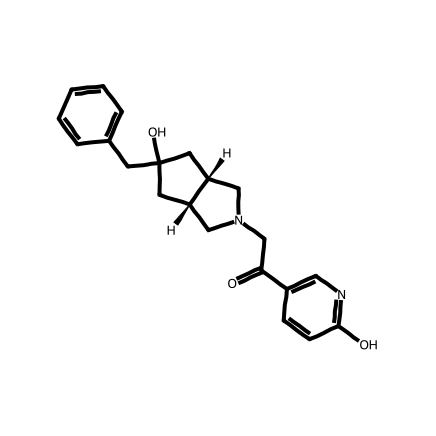 O=C(CN1C[C@@H]2CC(O)(Cc3ccccc3)C[C@@H]2C1)c1ccc(O)nc1